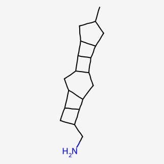 CC1CC2C(C1)C1C3CC4C(CC3C21)C1CC(CN)C14